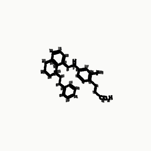 O=C(O)CCc1ccc(NCc2cccc3c2N(CCc2ccccc2)CCC3)cc1F